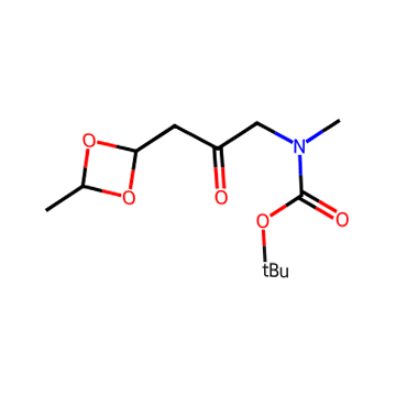 CC1OC(CC(=O)CN(C)C(=O)OC(C)(C)C)O1